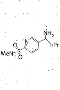 CCCC(N)c1ccc(S(=O)(=O)NC)nc1